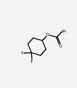 CC(C)C(=O)OC1CCC(F)(F)CC1